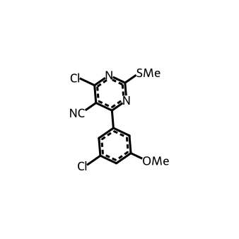 COc1cc(Cl)cc(-c2nc(SC)nc(Cl)c2C#N)c1